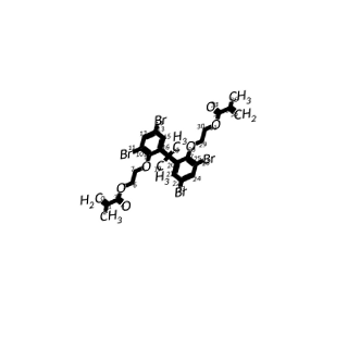 C=C(C)C(=O)OCCOc1c(Br)cc(Br)cc1C(C)(C)c1cc(Br)cc(Br)c1OCCOC(=O)C(=C)C